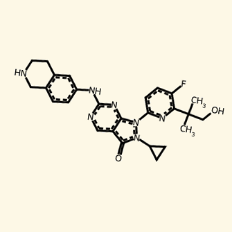 CC(C)(CO)c1nc(-n2c3nc(Nc4ccc5c(c4)CCNC5)ncc3c(=O)n2C2CC2)ccc1F